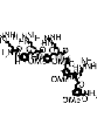 COc1ccc(CC(=O)[C@@H](CCCNC(=N)N)NC(=O)c2cc(CC(=O)[C@H](C)NC(=O)[C@@H](CCCNC(=N)N)CC(=O)c3cc(NC(=O)[C@@H](CCCNC(=N)N)CC(=O)c4cc(NC(=O)[C@H](N)CCCNC(=N)N)ccc4OC)ccc3OC)ccc2OC)cc1C(N)=O